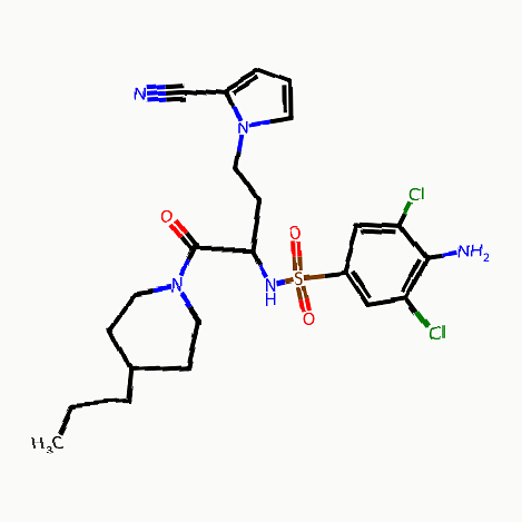 CCCC1CCN(C(=O)C(CCn2cccc2C#N)NS(=O)(=O)c2cc(Cl)c(N)c(Cl)c2)CC1